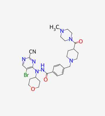 CN1CCN(C(=O)C2CCN(Cc3ccc(C(=O)NN(c4nc(C#N)ncc4Br)C4CCOCC4)cc3)CC2)CC1